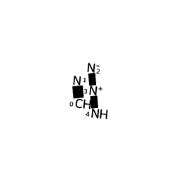 C#N.[N-]=[N+]=N